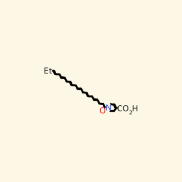 CC/C=C/C/C=C/C/C=C/C/C=C/C/C=C/C/C=C/CCC(=O)N1CC=C(C(=O)O)CC1